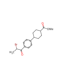 COC(=O)C1CCC(c2ccc(C(=O)C(C)Br)cc2)CC1